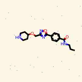 CCCNC(=O)c1ccc(-c2nc(COC3CCNCC3)no2)cc1